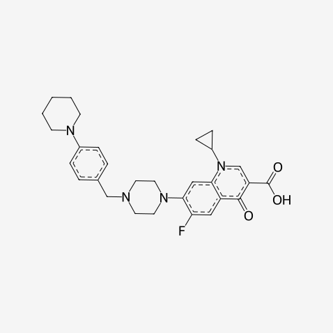 O=C(O)c1cn(C2CC2)c2cc(N3CCN(Cc4ccc(N5CCCCC5)cc4)CC3)c(F)cc2c1=O